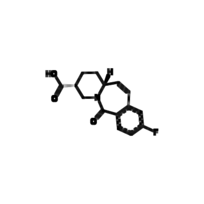 O=C(O)[C@@H]1CC[C@@H]2C=Cc3cc(F)ccc3C(=O)N2C1